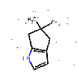 CC1(C)Cc2cc[nH]c2C1